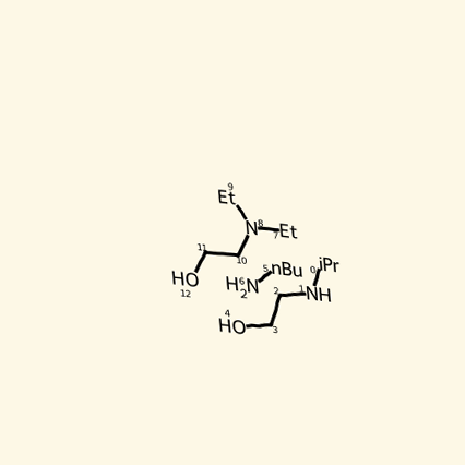 CC(C)NCCO.CCCCN.CCN(CC)CCO